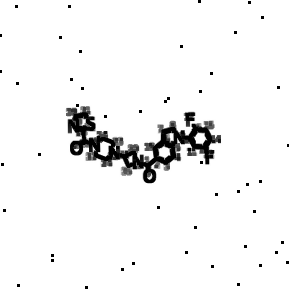 O=C(c1ccc2c(ccn2-c2cc(F)ccc2F)c1)N1CC(N2CCN(C(=O)c3nccs3)CC2)C1